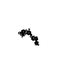 Cn1cc(-c2cnc3nc(OCc4cc(F)c(Oc5ccc(Cl)c(C(F)(F)F)c5)c(F)c4)ccn23)cn1